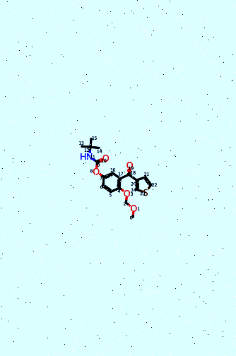 COCOc1ccc(OC(=O)NC(C)(C)C)cc1C(=O)c1ccsc1